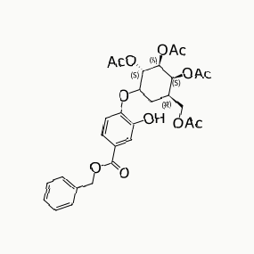 CC(=O)OC[C@H]1CC(Oc2ccc(C(=O)OCc3ccccc3)cc2O)[C@H](OC(C)=O)[C@@H](OC(C)=O)[C@H]1OC(C)=O